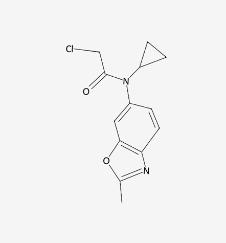 Cc1nc2ccc(N(C(=O)CCl)C3CC3)cc2o1